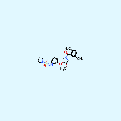 COC1CN(C(=O)c2cc(C)ccc2C)CC1Oc1cccc(NS(=O)(=O)N2CCCC2)c1